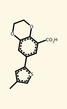 Cc1csc(-c2cc3c(c(C(=O)O)c2)OCCO3)c1